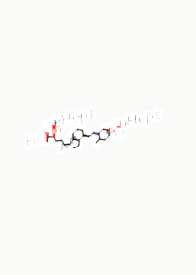 C=C1CC[C@H](OC(=O)CCCCCCC)C/C1=C/C=C1CCC[C@@]2(C)C1CC[C@@H]2[C@H](C)CCC(OC(=O)CCCCCCC)C(C)(C)O